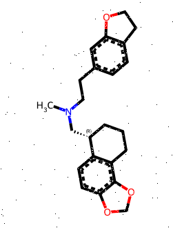 CN(CCc1ccc2c(c1)OCC2)C[C@@H]1CCCc2c1ccc1c2OCO1